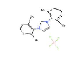 CC(C)c1cccc(C(C)C)c1N1C=CN(c2c(C(C)C)cccc2C(C)C)C1.F[B-](F)(F)F